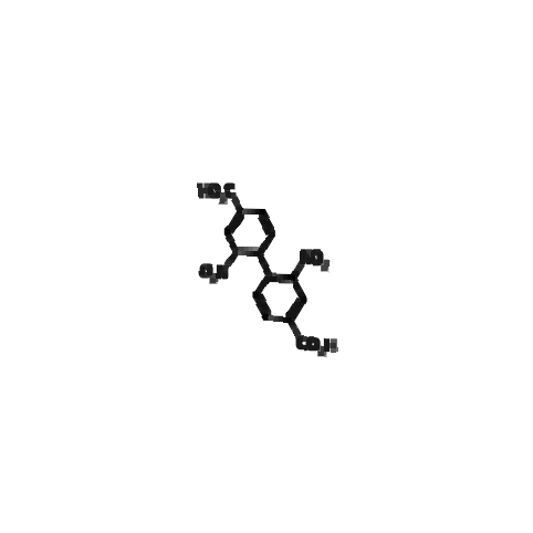 O=C(O)c1ccc(-c2ccc(C(=O)O)cc2[N+](=O)[O-])c([N+](=O)[O-])c1